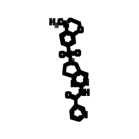 CN1CCOc2cc(S(=O)(=O)N3CCc4nc(NC(=O)c5cccnc5)ncc4C3)ccc21